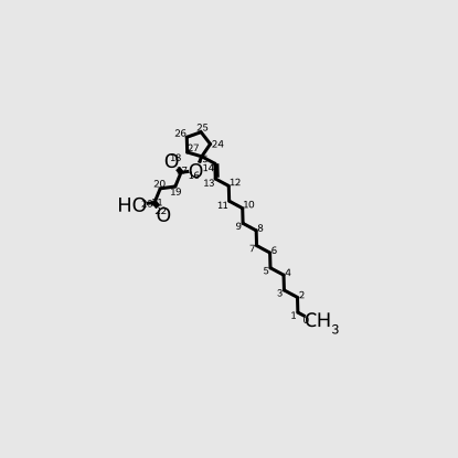 CCCCCCCCCCCCCC=CC1(OC(=O)CCC(=O)O)CCCC1